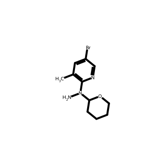 Cc1cc(Br)cnc1N(N)C1CCCCO1